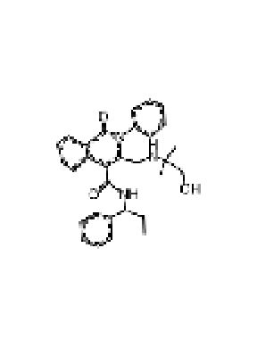 CC[C@H](NC(=O)c1c(CNC(C)(C)CO)n(-c2ccccc2)c(=O)c2ccccc12)c1ccccc1